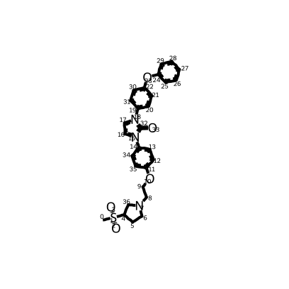 CS(=O)(=O)C1CCN(CCOc2ccc(-n3ccn(-c4ccc(Oc5ccccc5)cc4)c3=O)cc2)C1